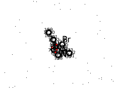 Brc1cc(N(c2ccccc2)c2ccc(-c3ccccc3)cc2)c2c(c1)-n1c(nc3ccccc31)C21c2ccccc2-c2ccccc21